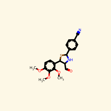 COc1ccc(C2SC(c3ccc(C#N)cc3)NC2C=O)c(OC)c1OC